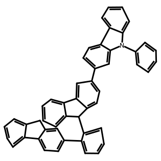 c1ccc(-n2c3ccccc3c3ccc(-c4ccc5c(c4)-c4ccccc4C5c4ccccc4-c4ccc5c(c4)Cc4ccccc4-5)cc32)cc1